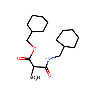 O=C(NCC1CCCCC1)C(C(=O)OCC1CCCCC1)S(=O)(=O)O